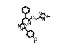 COc1ccc(-c2nnc3cc(-c4ccccc4)c(OCc4ncn(C)n4)nn23)cc1